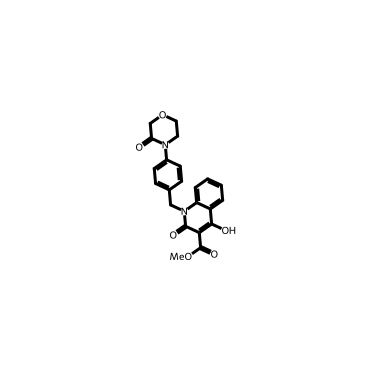 COC(=O)c1c(O)c2ccccc2n(Cc2ccc(N3CCOCC3=O)cc2)c1=O